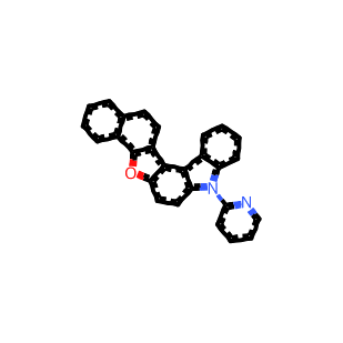 c1ccc(-n2c3ccccc3c3c4c(ccc32)oc2c3ccccc3ccc24)nc1